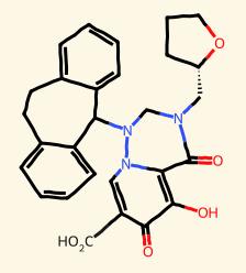 O=C(O)c1cn2c(c(O)c1=O)C(=O)N(C[C@@H]1CCCO1)CN2C1c2ccccc2CCc2ccccc21